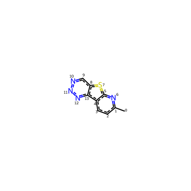 Cc1ccc2c(n1)sc1cnnnc12